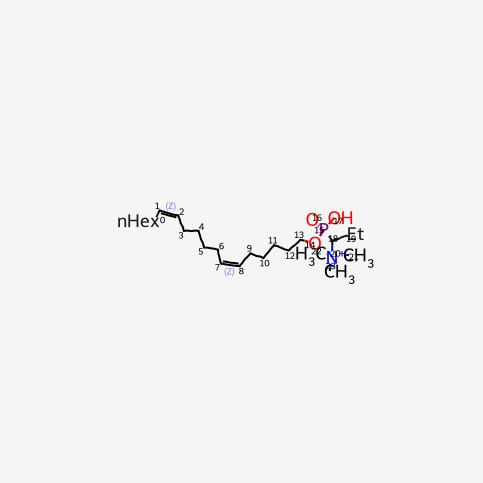 CCCCCC/C=C\CCCC/C=C\CCCCCOP(=O)(O)C(CC)[N+](C)(C)C